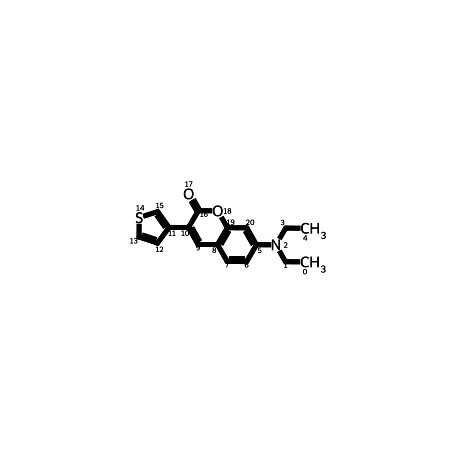 CCN(CC)c1ccc2cc(-c3ccsc3)c(=O)oc2c1